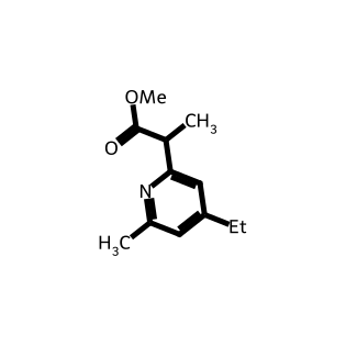 CCc1cc(C)nc(C(C)C(=O)OC)c1